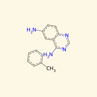 Cc1ccccc1.Nc1ccc2ncnc(N)c2c1